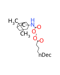 CCCCCCCCCCCCCC(=O)OCOC(=O)NC12CC3CC(CC(C)(C3)C1)C(C)C2